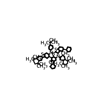 Cc1cc2c(cc1N1c3cc4c(oc5ccccc54)c4c3B(c3sc5ccc(-c6ccccc6)cc5c31)N(c1ccc(C(C)(C)C)cc1)c1cc3sc5cc6c(cc5c3cc1-4)C(C)(C)CCC6(C)C)C(C)(C)CCC2(C)C